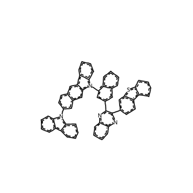 c1ccc2c(-n3c4ccccc4c4cc5ccc(-n6c7ccccc7c7ccccc76)cc5cc43)cc(-c3nc4ccccc4nc3-c3ccc4c(c3)sc3ccccc34)cc2c1